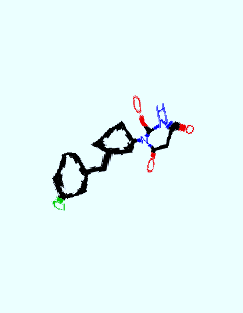 O=C1CC(=O)N(c2cccc(Cc3cccc(Cl)c3)c2)C(=O)N1